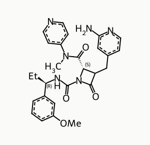 CC[C@@H](NC(=O)N1C(=O)C(Cc2ccnc(N)c2)[C@H]1C(=O)N(C)c1ccncc1)c1cccc(OC)c1